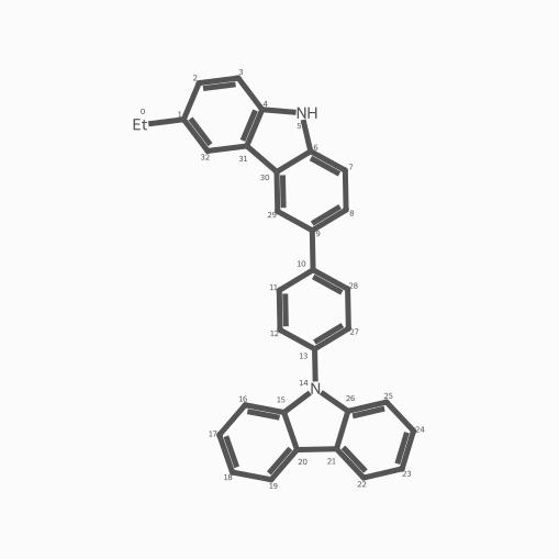 CCc1ccc2[nH]c3ccc(-c4ccc(-n5c6ccccc6c6ccccc65)cc4)cc3c2c1